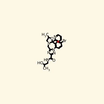 CC(O)CNC(=O)c1nc2n(n1)-c1ccc(Br)cc1C1(c3ccccn3)OC(C)CN1C2